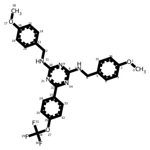 COc1ccc(CNc2nc(NCc3ccc(OC)cc3)nc(-c3ccc(OC(F)(F)F)cc3)n2)cc1